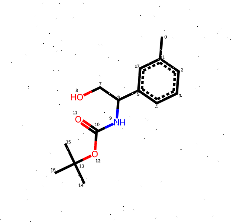 Cc1cccc(C(CO)NC(=O)OC(C)(C)C)c1